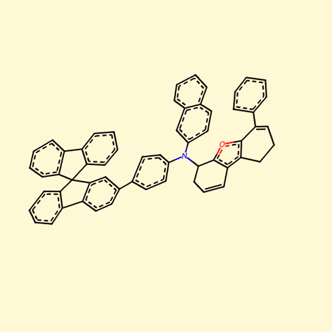 C1=Cc2c(oc3c2CCC=C3c2ccccc2)C(N(c2ccc(-c3ccc4c(c3)C3(c5ccccc5-c5ccccc53)c3ccccc3-4)cc2)c2ccc3ccccc3c2)C1